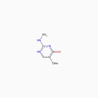 COc1c[nH]c(N[N+](=O)[O-])nc1=O